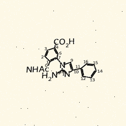 CC(=O)Nc1ccc(C(=O)O)cc1-n1cc(-c2ccccc2)nc1N